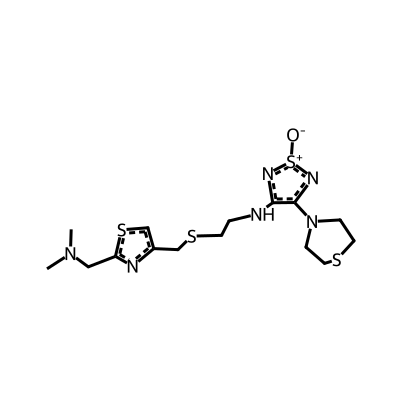 CN(C)Cc1nc(CSCCNc2n[s+]([O-])nc2N2CCSCC2)cs1